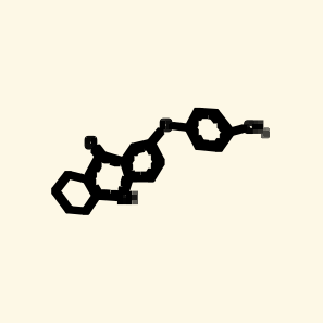 Cc1ccc(Oc2ccc3[nH]c4c(c(=O)c3c2)CCCC4)cc1